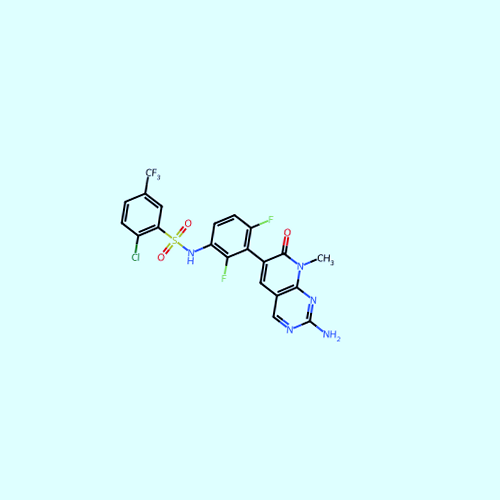 Cn1c(=O)c(-c2c(F)ccc(NS(=O)(=O)c3cc(C(F)(F)F)ccc3Cl)c2F)cc2cnc(N)nc21